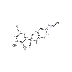 CC(=O)/C=C/c1ccc(NS(=O)(=O)c2cc(Cl)cc(Cl)c2O)cc1